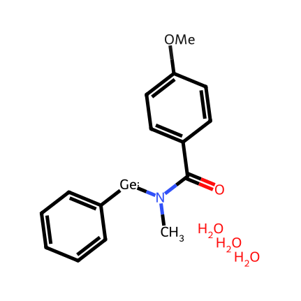 COc1ccc(C(=O)[N](C)[Ge][c]2ccccc2)cc1.O.O.O